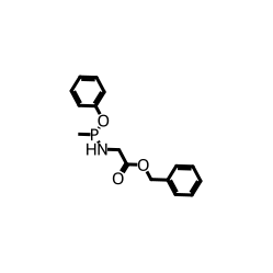 CP(NCC(=O)OCc1ccccc1)Oc1ccccc1